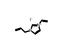 C=CCn1cc[n+](C=C)c1.[I-]